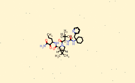 CCCC(NC(=O)[C@@H]1[C@@H]2[C@H](CN1C(=O)[C@@H](NC(=O)NC1(Cc3ccccn3)CCCCC1)C(C)(C)C)C2(C)C)C(=O)C(N)=O